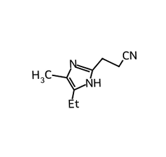 CCc1[nH]c(CCC#N)nc1C